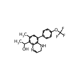 Cc1cc(-c2ccc(OC(F)(F)F)cc2)c2c(c1C(C)O)N=CCN2